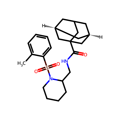 Cc1ccccc1S(=O)(=O)N1CCCCC1CNC(=O)C12CC3C[C@H](C1)C[C@@H](C3)C2